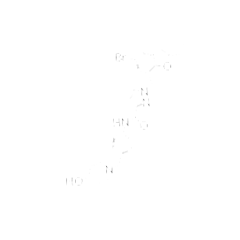 Cc1cc(C(=O)Nc2ccc(CN3CCC(O)CC3)cc2)nn1Cc1cc(Br)cc2cc(C(C)C)oc12